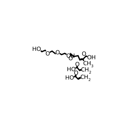 C=CC(=O)O.C=CC(=O)O.CC(=CCC1CO1)C(=O)O.OCCOCCOCCO